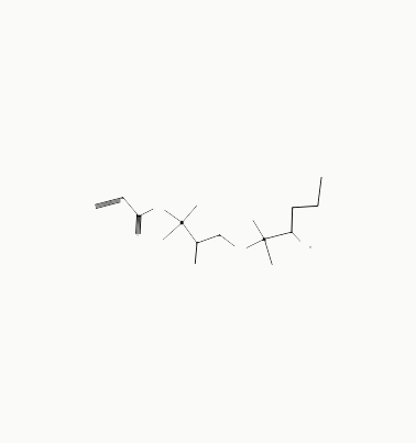 C=CC(=O)OC(C)(C)C(C)COC(C)(C)C(O)CCC